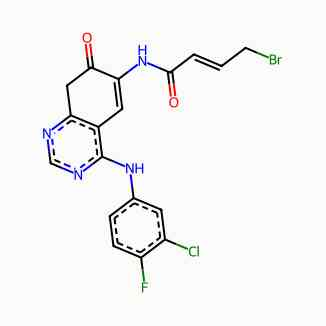 O=C(C=CCBr)NC1=Cc2c(ncnc2Nc2ccc(F)c(Cl)c2)CC1=O